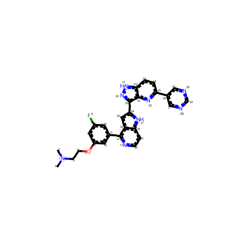 CN(C)CCOc1cc(F)cc(-c2nccc3[nH]c(-c4n[nH]c5ccc(-c6cncnc6)nc45)cc23)c1